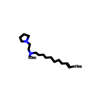 CCCCCCC=CCCCCCCCCN(CCCCCCCCCC)CCN1CCCC1